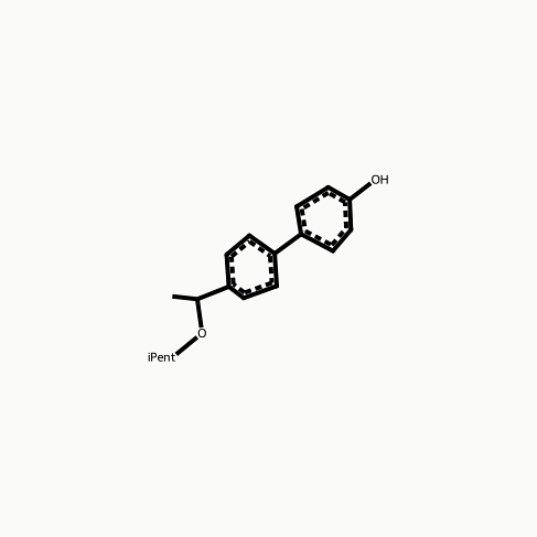 CCCC(C)OC(C)c1ccc(-c2ccc(O)cc2)cc1